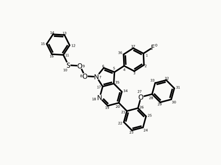 Fc1ccc(-c2cn(OOSc3ccccc3)c3ncc(-c4ccccc4Oc4ccccc4)cc23)cc1